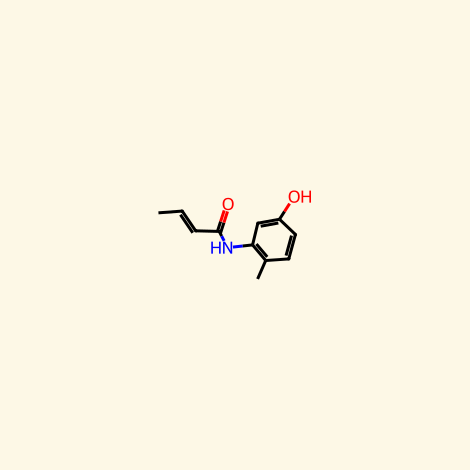 CC=CC(=O)Nc1cc(O)ccc1C